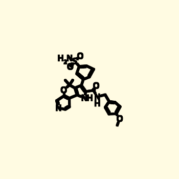 COc1ccc(CNC(=O)c2[nH]c3c(c2-c2cccc(S(N)(=O)=O)c2)C(C)(C)Oc2cnccc2-3)cc1